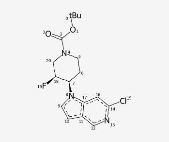 CC(C)(C)OC(=O)N1CC[C@@H](n2ccc3cnc(Cl)cc32)[C@@H](F)C1